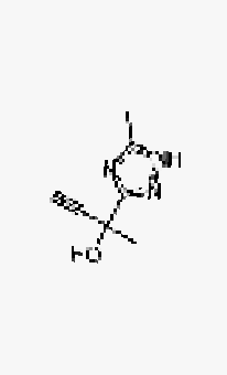 C#CC(C)(O)c1n[nH]c(C)n1